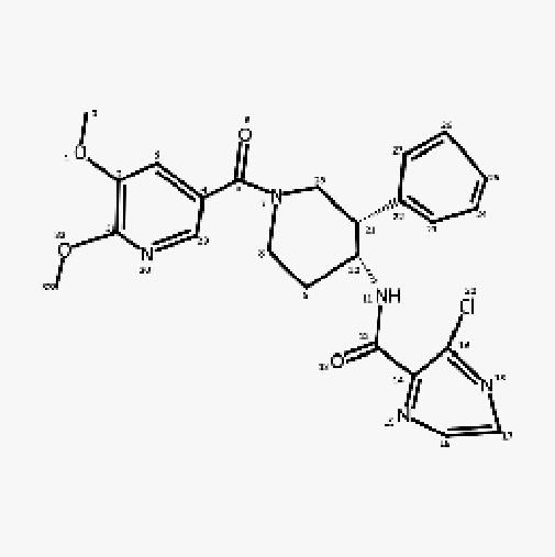 COc1cc(C(=O)N2CC[C@@H](NC(=O)c3nccnc3Cl)[C@@H](c3ccccc3)C2)cnc1OC